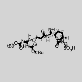 CC(C)(C)OC(=O)/N=C(/NOCCC(=O)NC(=N)[C@@H]1CC[C@@H]2CN1C(=O)N2OS(=O)(=O)O)NC(=O)OC(C)(C)C